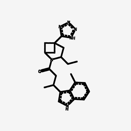 CCC1CC2(c3nnn[nH]3)CC(C2)N1C(=O)CC(C)c1c[nH]c2cccc(C)c12